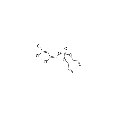 C=CCOP(=O)(O/C=C(/Cl)C=C(Cl)Cl)OCC=C